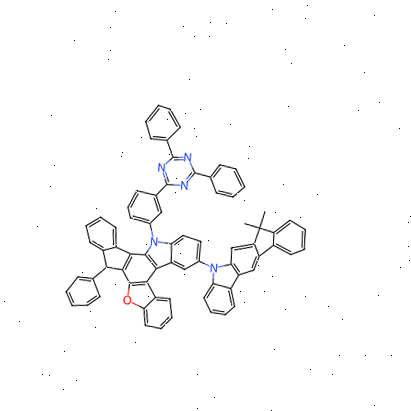 CC1(C)c2ccccc2-c2cc3c4ccccc4n(-c4ccc5c(c4)c4c6c(oc7ccccc76)c6c(c4n5-c4cccc(-c5nc(-c7ccccc7)nc(-c7ccccc7)n5)c4)-c4ccccc4C6c4ccccc4)c3cc21